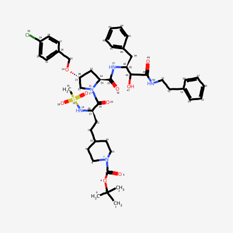 CC(C)(C)OC(=O)N1CCC(CC[C@@H](NS(C)(=O)=O)C(=O)N2C[C@H](OCc3ccc(Cl)cc3)C[C@H]2C(=O)N[C@@H](Cc2ccccc2)C(O)C(=O)NCCc2ccccc2)CC1